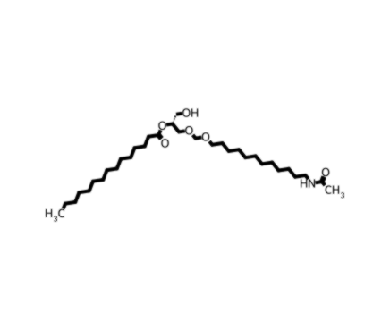 CCCCCCCCCCCCCCC(=O)O[C@H](CO)COCOCCCCCCCCCCCCNC(C)=O